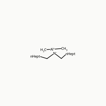 CCCCCCCC[N-]CCCCCCCC.[CH3][Al+][CH3]